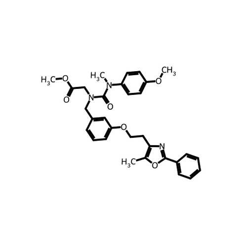 COC(=O)CN(Cc1cccc(OCCc2nc(-c3ccccc3)oc2C)c1)C(=O)N(C)c1ccc(OC)cc1